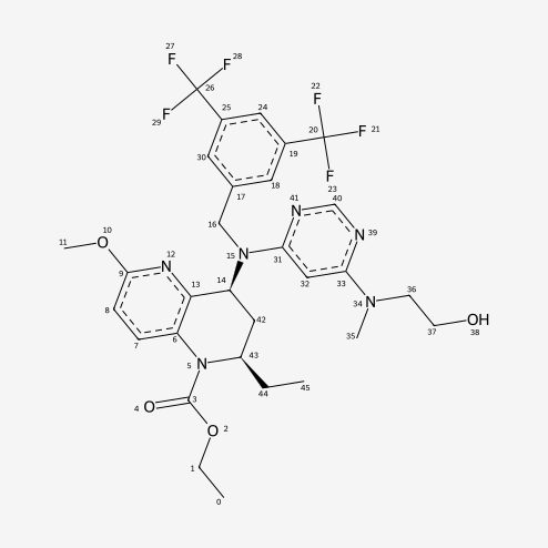 CCOC(=O)N1c2ccc(OC)nc2[C@@H](N(Cc2cc(C(F)(F)F)cc(C(F)(F)F)c2)c2cc(N(C)CCO)ncn2)C[C@H]1CC